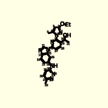 CCOc1cc(C)n(-c2nc(-n3cnc4ccc(Nc5ccc(C)nn5)cc43)ccc2C(C)O)n1